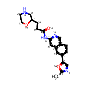 Cc1ncc(-c2ccc3cnc(NC(=O)CCC4CNCCO4)cc3c2)o1